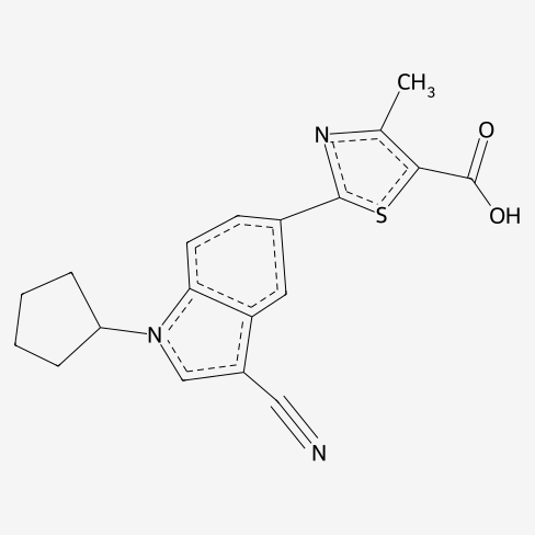 Cc1nc(-c2ccc3c(c2)c(C#N)cn3C2CCCC2)sc1C(=O)O